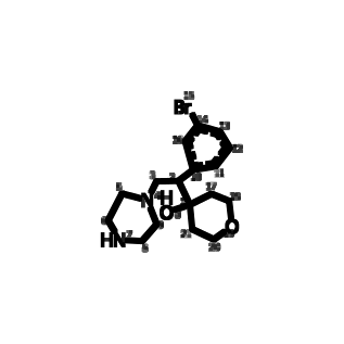 OC1(C(CN2CCNCC2)c2cccc(Br)c2)CCOCC1